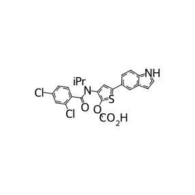 CC(C)N(C(=O)c1ccc(Cl)cc1Cl)c1cc(-c2ccc3[nH]ccc3c2)sc1OC(=O)O